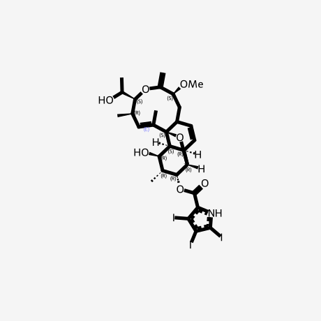 C=C1O[C@H](C(C)O)[C@H](C)/C=C(\C)[C@]23O[C@@H]4[C@H](C=CC2C[C@@H]1OC)[C@H]3[C@H](O)[C@@H](C)[C@H]4OC(=O)c1[nH]c(I)c(I)c1I